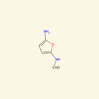 Nc1ccc(NC=O)o1